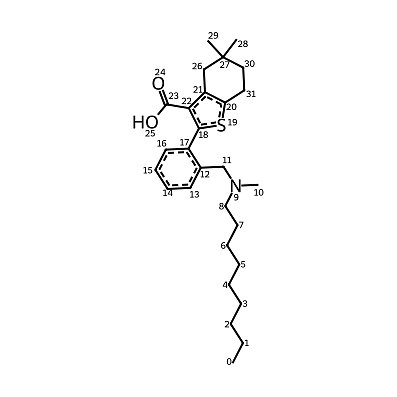 CCCCCCCCCN(C)Cc1ccccc1-c1sc2c(c1C(=O)O)CC(C)(C)CC2